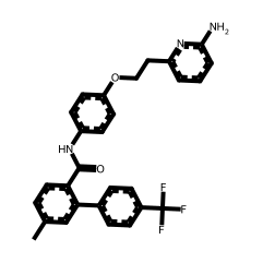 Cc1ccc(C(=O)Nc2ccc(OCCc3cccc(N)n3)cc2)c(-c2ccc(C(F)(F)F)cc2)c1